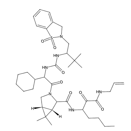 C=CCNC(=O)C(=O)C(CCCC)NC(=O)C1[C@H]2[C@@H](CN1C(=O)C(NC(=O)NC(CN1Cc3ccccc3S1(=O)=O)C(C)(C)C)C1CCCCC1)C2(C)C